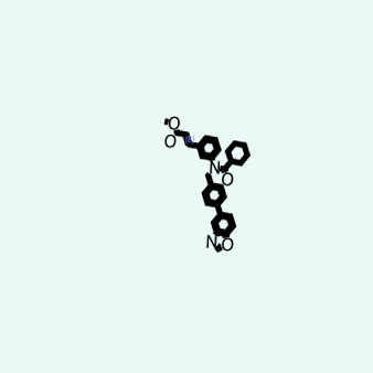 COC(=O)/C=C/c1cccc(N(Cc2ccc(-c3ccc4ocnc4c3)cc2)C(=O)C2CCCCC2)c1